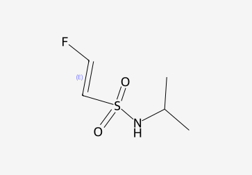 CC(C)NS(=O)(=O)/C=C/F